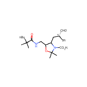 CCCCC(C)(C)C(=O)NCC1OC(C)(C)N(C(=O)O)C1C[C@H](C=O)C(C)C